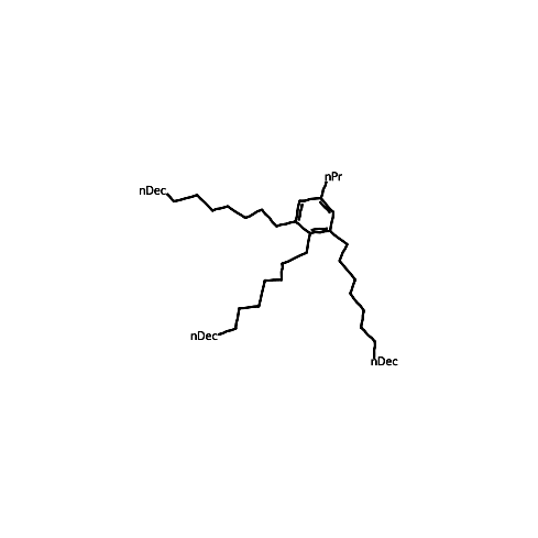 [CH2]CCc1cc(CCCCCCCCCCCCCCCCC)c(CCCCCCCCCCCCCCCCC)c(CCCCCCCCCCCCCCCCC)c1